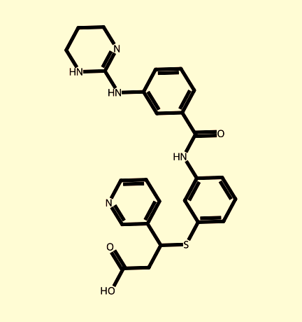 O=C(O)CC(Sc1cccc(NC(=O)c2cccc(NC3=NCCCN3)c2)c1)c1cccnc1